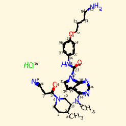 C[C@@H]1CCN(C(=O)CC#N)C[C@@H]1N(C)c1ncnc2c1ccn2C(=O)Nc1ccc(OCCCCN)cc1.Cl